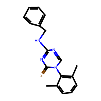 Cc1cccc(C)c1-n1cnc(NCc2ccccc2)nc1=S